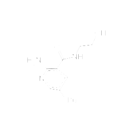 CC(C)(C)c1cnc(N)c(C(=O)NCCO)c1